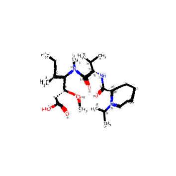 CC[C@H](C)C([C@@H](CC(=O)O)OC)N(C)C(=O)[C@@H](NC(=O)[C@H]1CCCCN1C(C)C)C(C)C